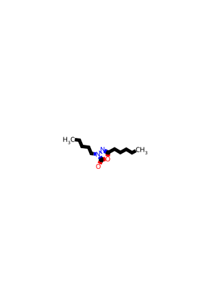 CCCCCc1nn(CCCCC)c(=O)o1